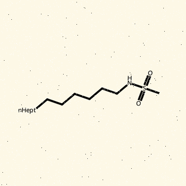 CCCCCCCCCCCCCNS(C)(=O)=O